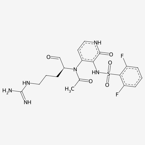 CC(=O)N(c1cc[nH]c(=O)c1NS(=O)(=O)c1c(F)cccc1F)[C@H](C=O)CCCNC(=N)N